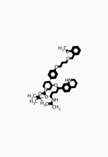 COc1ccccc1COCCCOc1ccc([C@H]2CCN(C(=O)OC(C)(C)C)C[C@@H]2OC(CCCNC(C)=O)c2ccc3c(c2)NCCC3)cc1